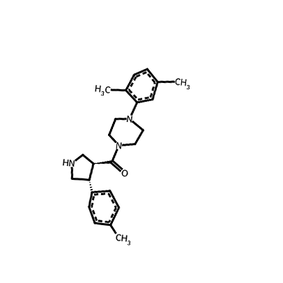 Cc1ccc([C@@H]2CNC[C@H]2C(=O)N2CCN(c3cc(C)ccc3C)CC2)cc1